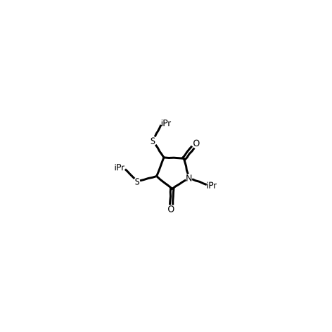 CC(C)SC1C(=O)N(C(C)C)C(=O)C1SC(C)C